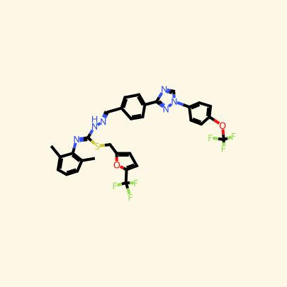 Cc1cccc(C)c1/N=C(/N/N=C/c1ccc(-c2ncn(-c3ccc(OC(F)(F)F)cc3)n2)cc1)SCc1ccc(C(F)(F)F)o1